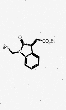 CCOC(=O)/C=C1/C(=O)N(CC(C)C)c2ccccc21